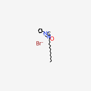 CCCCCCCCCCCCCC(=O)N1CCC[N+](C)(Cc2ccccc2)CC1.[Br-]